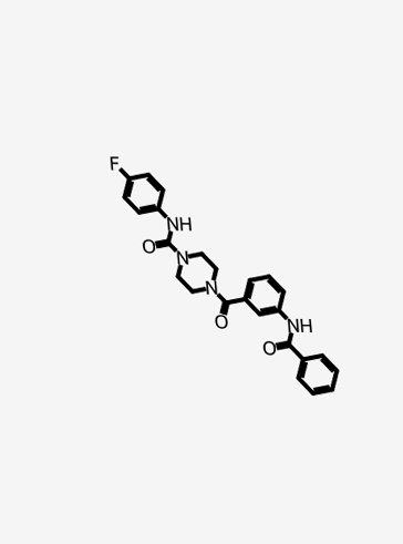 O=C(Nc1cccc(C(=O)N2CCN(C(=O)Nc3ccc(F)cc3)CC2)c1)c1ccccc1